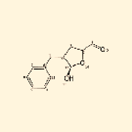 O=CC1CC(Cc2ccccc2)[C@H](O)O1